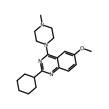 COc1ccc2nc(C3CCCCC3)nc(N3CCN(C)CC3)c2c1